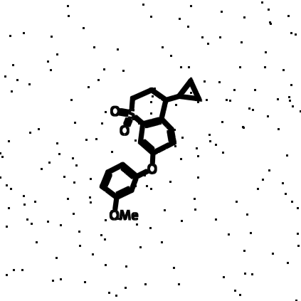 COc1cccc(Oc2ccc3c(c2)S(=O)(=O)CCC3C2CC2)c1